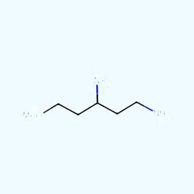 COCCC(N)CCN